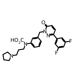 O=C(O)N(CCCN1CCCC1)c1cccc(Cn2nc(-c3cc(F)cc(F)c3)ccc2=O)c1